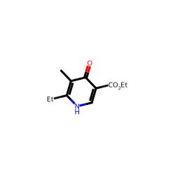 CCOC(=O)c1c[nH]c(CC)c(C)c1=O